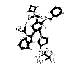 CC(C)(C)[Si](C)(C)OC1CCN(c2nc(OCc3ccccc3)c(S(=O)(=O)N3CCC3)cc2-c2cc3ccccc3n2C(=O)O)C1